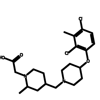 Cc1c(Cl)ccc(OC2CCN(CC3CCN(CC(=O)O)C(C)C3)CC2)c1Cl